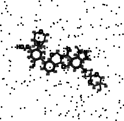 Cn1nnc2c(N3CC4(C3)OCC(C)(C)CO4)cc(Cl)c(C(=O)N3COc4c(cccc4-c4cc(N5C6CCC5COC6)c(C(=O)O)cc4F)C3)c21